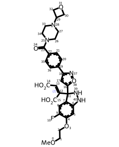 COCCOc1cc2c(cc1F)C(/C(=C/C(=O)O)C(=O)O)(c1cc(-c3ccc(C(=O)N4CCN(C5COC5)CC4)cc3)no1)NN2